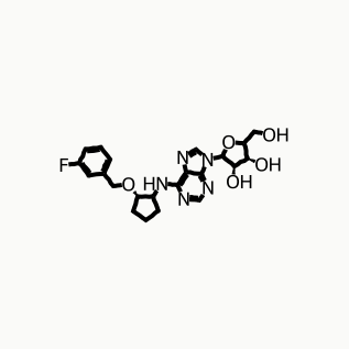 OCC1OC(n2cnc3c(NC4CCC[C@H]4OCc4cccc(F)c4)ncnc32)[C@H](O)[C@@H]1O